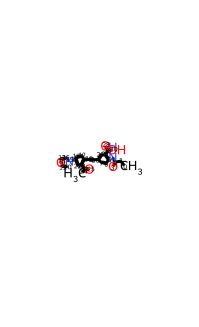 CCC(=O)Nc1ccc(C#Cc2ccc(N3CCOCC3)cc2C(C)=O)cc1C(=O)O